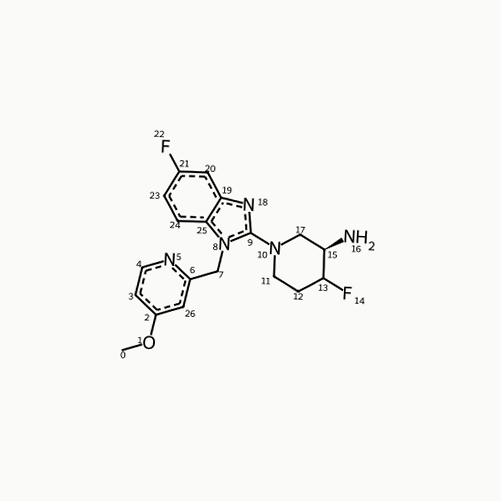 COc1ccnc(Cn2c(N3CCC(F)[C@H](N)C3)nc3cc(F)ccc32)c1